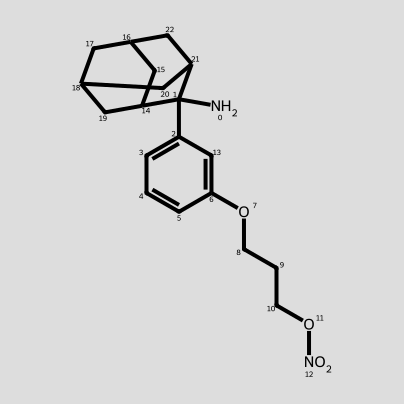 NC1(c2cccc(OCCCO[N+](=O)[O-])c2)C2CC3CC(C2)CC1C3